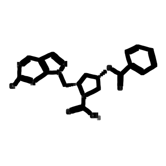 CC(=O)N1C[C@@H](OC(=O)c2ccccc2)C[C@H]1Cn1ncc2cnc(Cl)nc21